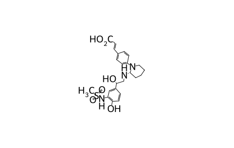 CS(=O)(=O)Nc1cc(C(O)CN[C@H]2CCCCN2c2ccc(/C=C/C(=O)O)cc2)ccc1O